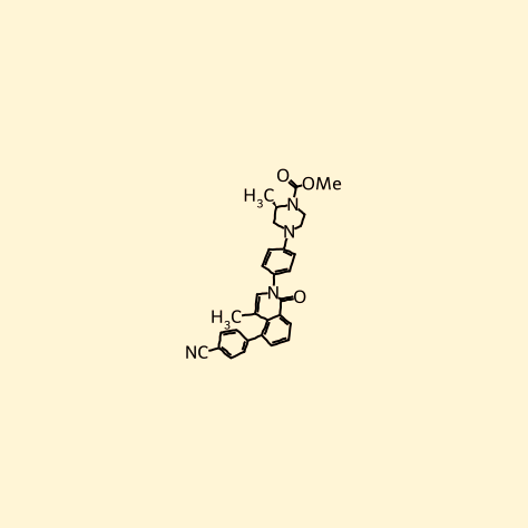 COC(=O)N1CCN(c2ccc(-n3cc(C)c4c(-c5ccc(C#N)cc5)cccc4c3=O)cc2)C[C@H]1C